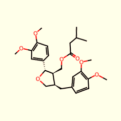 COc1ccc(C[C@H]2CO[C@H](c3ccc(OC)c(OC)c3)[C@H]2COC(=O)CC(C)C)cc1OC